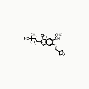 Cn1c(CCC(C)(C)O)nc2cc(OCC3COC3)c(NC=O)cc21